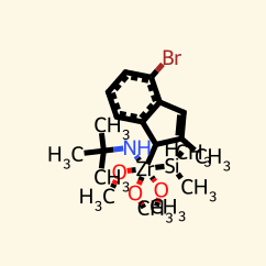 C[O][Zr]([NH]C(C)(C)C)([O]C)([O]C)([CH]1C(C)=Cc2c(Br)cccc21)[SiH](C)C